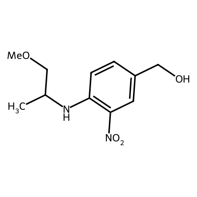 COCC(C)Nc1ccc(CO)cc1[N+](=O)[O-]